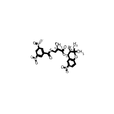 C[C@H](CSC(=O)c1cc([N+](=O)[O-])cc([N+](=O)[O-])c1)C(=O)O[C@H]1c2cc([N+](=O)[O-])ccc2OC(C)(C)[C@@H]1Br